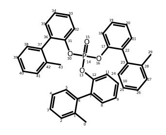 Cc1ccccc1-c1ccccc1OP(=O)(Oc1ccccc1-c1ccccc1C)Oc1ccccc1-c1ccccc1C